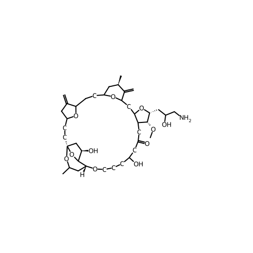 C=C1CC2CC[C@]34C[C@@H](O)C(O3)[C@@H](CC(C)O4)OCCCC(O)CC(=O)CC3C(CC4OC(CCC1O2)C[C@@H](C)C4=C)O[C@H](CC(O)CN)[C@@H]3OC